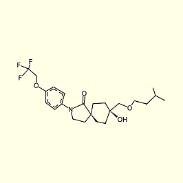 CC(C)CCOC[C@]1(O)CC[C@]2(CCN(c3ccc(OCC(F)(F)F)cc3)C2=O)CC1